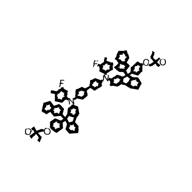 CCC1(COc2ccc(C3(c4ccc5ccccc5c4)c4ccccc4-c4ccc(N(c5ccc(-c6ccc(N(c7ccc(C)c(F)c7)c7ccc8c(c7)C(c7ccc(OCC9(CC)COC9)cc7)(c7ccc9ccccc9c7)c7ccccc7-8)cc6)cc5)c5ccc(C)c(F)c5)cc43)cc2)COC1